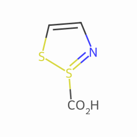 O=C(O)S1=NC=CS1